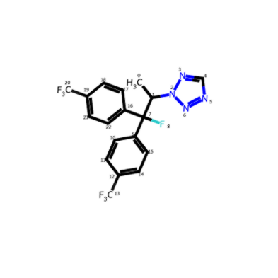 CC(n1ncnn1)C(F)(c1ccc(C(F)(F)F)cc1)c1ccc(C(F)(F)F)cc1